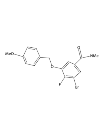 CNC(=O)c1cc(Br)c(F)c(OCc2ccc(OC)cc2)c1